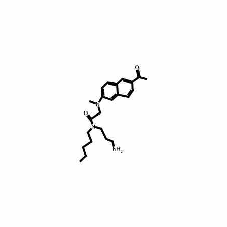 CCCCCN(CCCN)C(=O)CN(C)c1ccc2cc(C(C)=O)ccc2c1